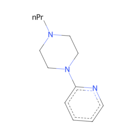 CCCN1CCN(c2ccccn2)CC1